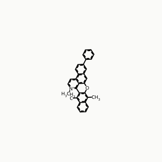 Cc1c2c(c(C)c3ccccc13)-c1c3c(cc4cc(-c5ccccc5)ccc4c3cc[n+]1C)O2